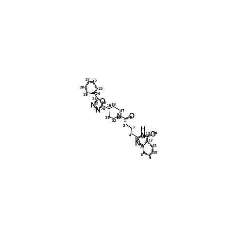 O=C(CCCc1nc2ccccc2c(=O)[nH]1)N1CCC(c2nnc(-c3ccccc3)o2)CC1